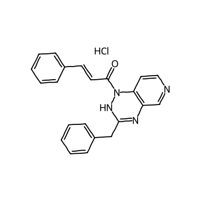 Cl.O=C(C=Cc1ccccc1)N1NC(Cc2ccccc2)=Nc2cnccc21